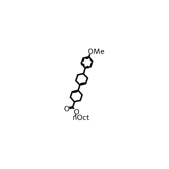 CCCCCCCCOC(=O)C1CC=C(C2=CCC(c3ccc(OC)cc3)CC2)CC1